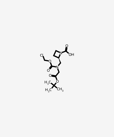 CC(C)(C)OC(=O)CN(C[C@H]1CCN1C(=O)O)C(=O)OCCl